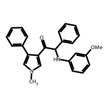 COc1cccc(NC(C(=O)c2cn(C)cc2-c2ccccc2)c2ccccc2)c1